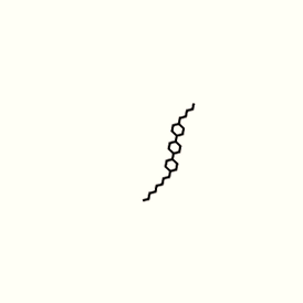 CCCCCCCCC1CCC(C2CCC(C3CCC(CCCCC)CC3)CC2)CC1